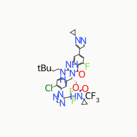 CC(C)(C)CCNC(=N)N(C(=O)c1ccc(-c2cnn(C3CC3)c2)cc1F)[C@H](COC(=O)NC1(C(F)(F)F)CC1)c1ccc(Cl)c(-n2ncnc2C(F)F)c1